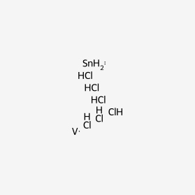 Cl.Cl.Cl.Cl.Cl.Cl.[SnH2].[V]